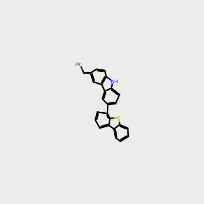 CC(C)Cc1ccc2[nH]c3ccc(-c4cccc5c4sc4ccccc45)cc3c2c1